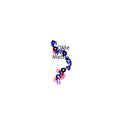 COc1ccc(N2CC3(CCN(CC4CCN(c5ccc6c(c5)C(=O)N(C5CCC(=O)NC5=O)C6=O)C4)CC3)C2)c(OC)c1SNc1noc2cc(Cn3cccn3)cc(OC)c12